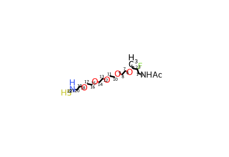 CC(=O)NCC(F)C(C)OCCOCCOCCOCCOCCNS